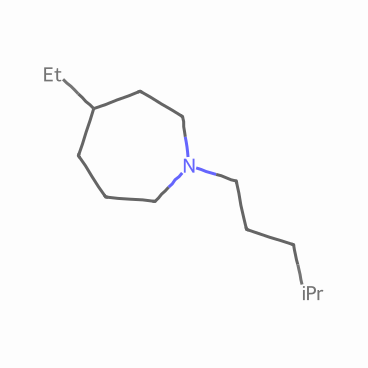 CCC1CCCN(CCCC(C)C)CC1